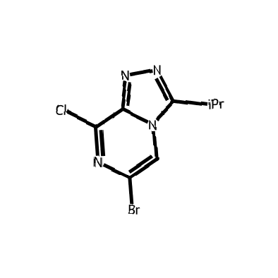 CC(C)c1nnc2c(Cl)nc(Br)cn12